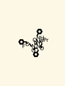 CCCN1CC(=O)N2[C@@H](Cc3ccccc3)C(=O)N(CCOCc3ccccc3F)C[C@@H]2N1C(=O)NCc1ccccc1